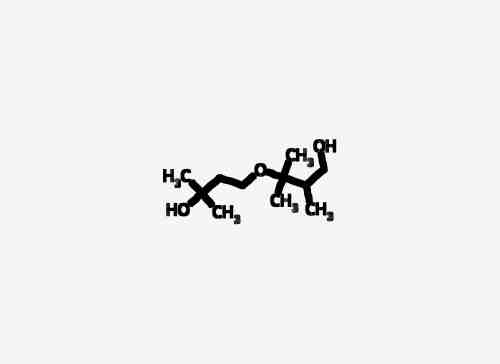 CC(CO)C(C)(C)OCCC(C)(C)O